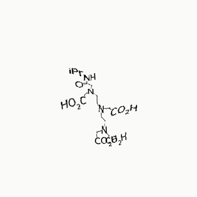 CC(C)NC(=O)CN(CCN(CCN(CC(=O)O)CC(=O)O)CC(=O)O)CC(=O)O